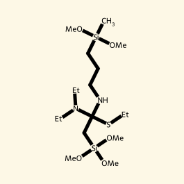 CCSC(C[Si](OC)(OC)OC)(NCCC[Si](C)(OC)OC)N(CC)CC